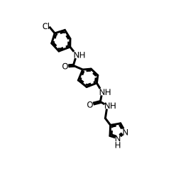 O=C(NCc1cn[nH]c1)Nc1ccc(C(=O)Nc2ccc(Cl)cc2)cc1